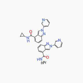 CCCNC(=O)c1cccc2nn(-c3cccnc3)cc12.O=C(NC1CC1)c1cccc2nn(-c3cccnc3)cc12